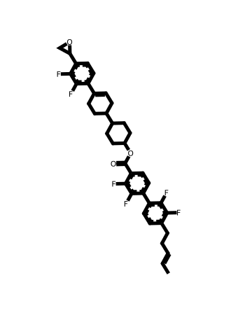 C/C=C/CCc1ccc(-c2ccc(C(=O)OC3CCC(C4CC=C(c5ccc(C6CO6)c(F)c5F)CC4)CC3)c(F)c2F)c(F)c1F